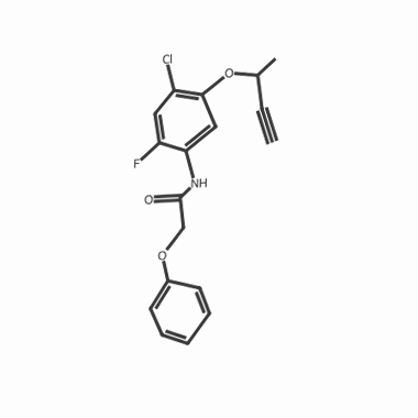 C#CC(C)Oc1cc(NC(=O)COc2ccccc2)c(F)cc1Cl